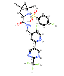 O=C(NCc1cc(-c2cnc(C(F)(F)F)nc2)ncc1F)[C@@H]1C[C@@H]2C[C@@H]2N1S(=O)(=O)c1ccc(F)cc1